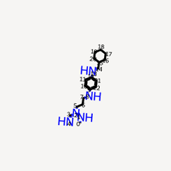 CNN(C=N)CCCNc1ccc(NCC2CCCCC2)cc1